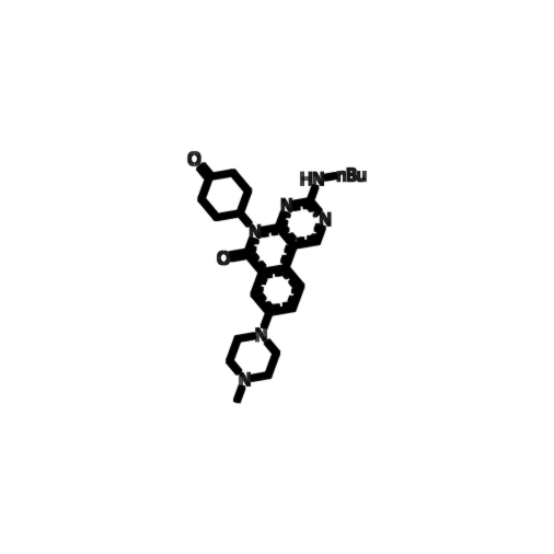 CCCCNc1ncc2c3ccc(N4CCN(C)CC4)cc3c(=O)n(C3CCC(=O)CC3)c2n1